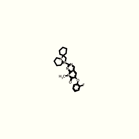 Cn1c(=O)c(Oc2ccccc2F)cc2cnc(NCC3(N4CCCCC4)CCCCC3)nc21